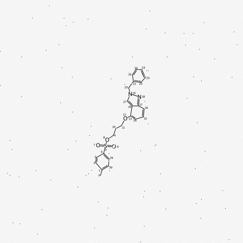 Cc1ccc(S(=O)(=O)OCCCOc2cccc3nn(Cc4ccccc4)cc23)cc1